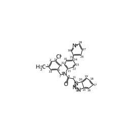 Cc1cc(Cl)cc(CN(C(=O)Cn2nnc3ccccc32)c2ccc(-c3cccnc3)cc2)c1